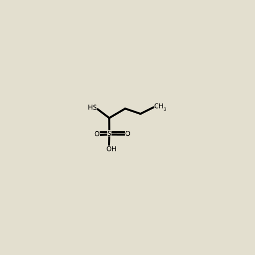 CCCC(S)S(=O)(=O)O